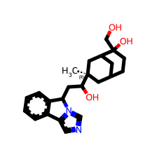 C[C@@]1(C(O)CC2c3ccccc3-c3cncn32)CC2CCC(O)(CO)C(C2)C1